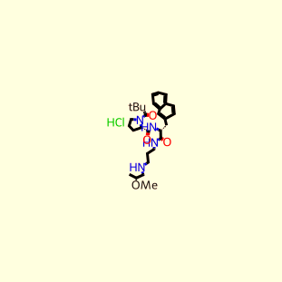 CO[C@H](C)CNCCCNC(=O)[C@@H](Cc1ccc2ccccc2c1)NC(=O)[C@@H]1CCCN1C(=O)C(C)(C)C.Cl